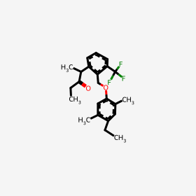 CCC(=O)C(C)c1cccc(C(F)(F)F)c1COc1cc(C)c(CC)cc1C